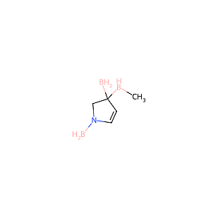 BN1C=CC(B)(BC)C1